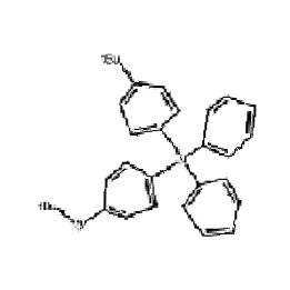 CC(C)(C)Oc1ccc([Si](c2ccccc2)(c2ccccc2)c2ccc(C(C)(C)C)cc2)cc1